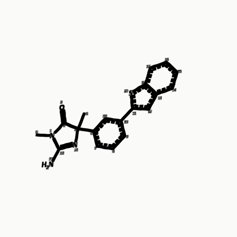 CN1C(=O)C(C)(c2cccc(-c3cc4ccccc4s3)c2)N=C1N